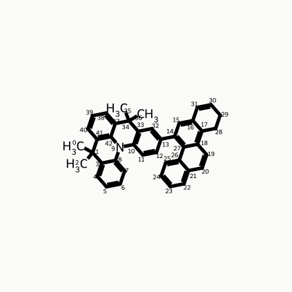 CC1(C)c2ccccc2N2c3ccc(-c4cc5c(c6ccc7ccccc7c46)CCC=C5)cc3C(C)(C)c3cccc1c32